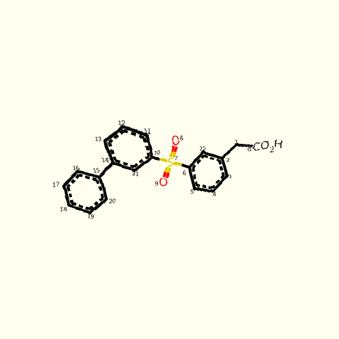 O=C(O)Cc1cccc(S(=O)(=O)c2cccc(-c3ccccc3)c2)c1